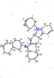 C1=Cc2c(n(-c3ccccc3)c3cc4c(cc23)c2ccccc2n4-c2ccc3ccccc3c2)CC1